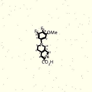 COc1cc(N2CCc3cc(C(=O)O)ncc3C2)cc(F)c1F